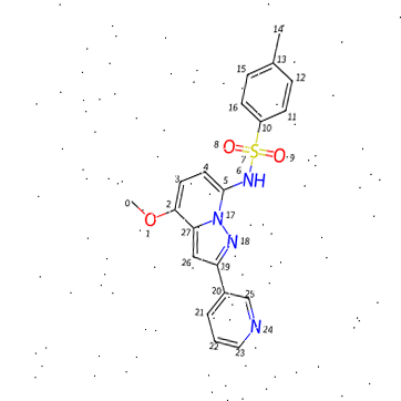 COc1ccc(NS(=O)(=O)c2ccc(C)cc2)n2nc(-c3cccnc3)cc12